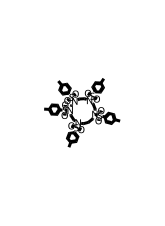 Cc1ccc(S(=O)(=O)N2CCCN(S(=O)(=O)c3ccc(C)cc3)CCN(S(=O)(=O)c3ccc(C)cc3)CN(S(=O)(=O)c3ccc(C)cc3)CCN(S(=O)(=O)c3ccc(C)cc3)CC2)cc1